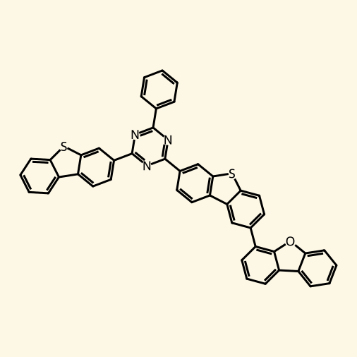 c1ccc(-c2nc(-c3ccc4c(c3)sc3ccccc34)nc(-c3ccc4c(c3)sc3ccc(-c5cccc6c5oc5ccccc56)cc34)n2)cc1